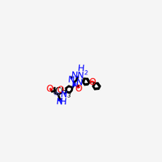 CC1(/C=C(/C#N)C(=O)NC2CCC(n3c(=O)n(-c4ccc(Oc5ccccc5)cc4)c4c(N)ncnc43)CC2)COC1